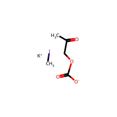 CC(=O)COC(=O)[O-].CI.[K+]